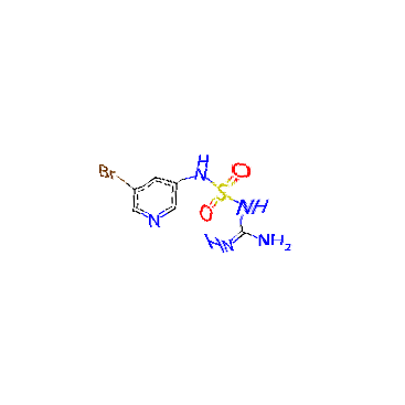 N=C(N)NS(=O)(=O)Nc1cncc(Br)c1